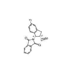 CO[C@H]1Cc2cc(Cl)ccc2[C@H]1N1C(=O)c2ccccc2C1=O